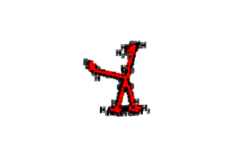 CC(=O)N[C@@H]1[C@@H](O)[C@@H](O)[C@@H](CO)O[C@@H]1CCCOCCOCCNC(=O)C=COCC(COCCC(=O)NCCOCCOCCC[C@H]1O[C@H](CO)[C@H](O)[C@H](O)[C@H]1NC(C)=O)(COCCC(=O)NCCOCCOCCC[C@H]1O[C@H](CO)[C@H](O)[C@H](O)[C@H]1NC(C)=O)NC(=O)COCCOCCOCCOCCNS(=O)(=O)C1CCN(C(=O)CBr)CC1